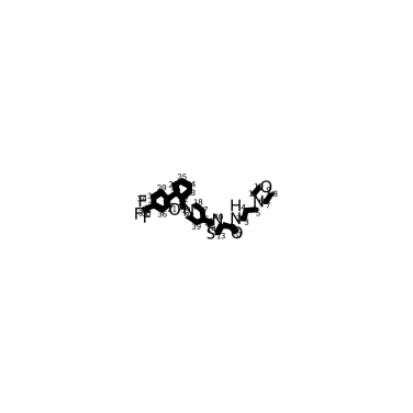 O=C(NCCCN1CCOCC1)c1csc(C2CCN(C(=O)c3ccccc3-c3ccc(C(F)(F)F)cc3)CC2)n1